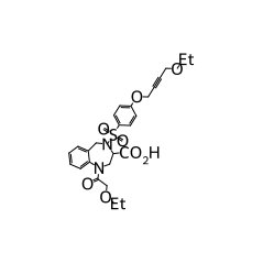 CCOCC#CCOc1ccc(S(=O)(=O)N2Cc3ccccc3N(C(=O)COCC)CC2C(=O)O)cc1